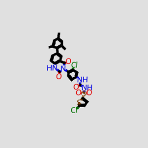 Cc1cc(C)c(-c2ccc3[nH]c(=O)n(-c4ccc(NC(=O)NS(=O)(=O)c5ccc(Cl)s5)cc4Cl)c(=O)c3c2)c(C)c1